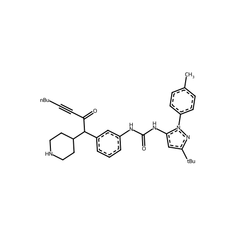 CCCCC#CC(=O)C(c1cccc(NC(=O)Nc2cc(C(C)(C)C)nn2-c2ccc(C)cc2)c1)C1CCNCC1